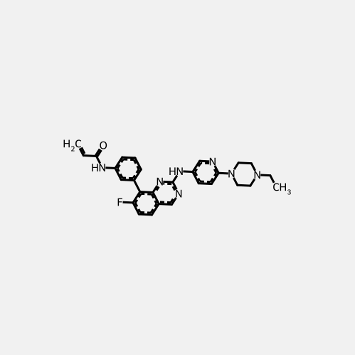 C=CC(=O)Nc1cccc(-c2c(F)ccc3cnc(Nc4ccc(N5CCN(CC)CC5)nc4)nc23)c1